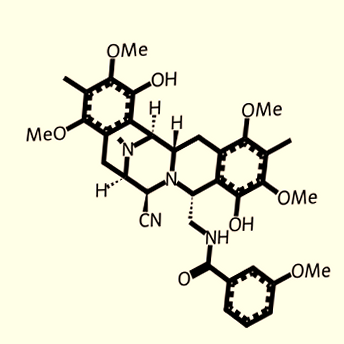 COc1cccc(C(=O)NC[C@H]2c3c(O)c(OC)c(C)c(OC)c3C[C@H]3[C@@H]4c5c(O)c(OC)c(C)c(OC)c5C[C@H]([C@H](C#N)N23)N4C)c1